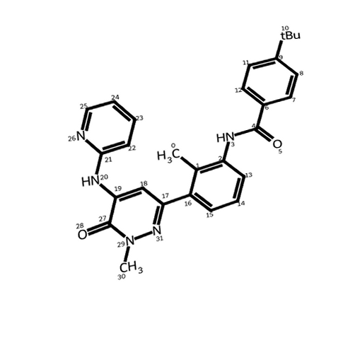 Cc1c(NC(=O)c2ccc(C(C)(C)C)cc2)cccc1-c1cc(Nc2ccccn2)c(=O)n(C)n1